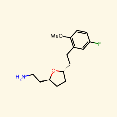 COc1ccc(F)cc1CC[C@@H]1CC[C@@H](CCN)O1